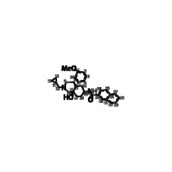 COc1cccc([C@@]23CCN(CC4CC4)C[C@@]2(O)CC[C@H](NC(=O)c2ccc4ccccc4c2)C3)c1